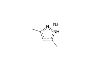 Cc1cc(C)[nH]n1.[Na]